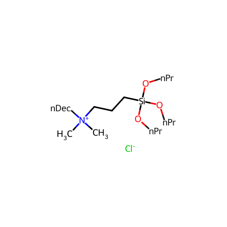 CCCCCCCCCC[N+](C)(C)CCC[Si](OCCC)(OCCC)OCCC.[Cl-]